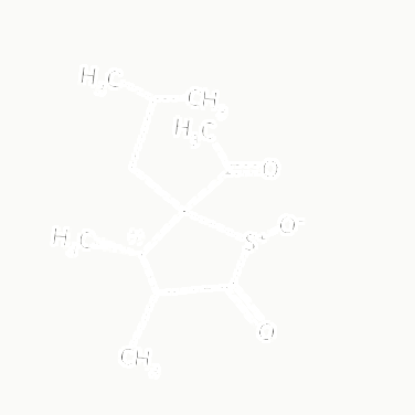 CC(=O)C1(CC(C)C)[C@@H](C)C(C)C(=O)[S+]1[O-]